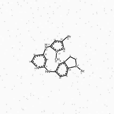 CC(=O)N1CCc2cc(Nc3cc(Nc4cc(C(C)C)nn4C)ccn3)ccc21